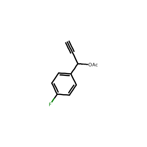 C#CC(OC(C)=O)c1ccc(F)cc1